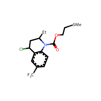 CCC1CC(Cl)c2cc(C(F)(F)F)ccc2N1C(=O)OCCSC